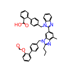 CCCc1nc2c(C)cc(-c3nc4ccccc4n3Cc3ccc(-c4ccccc4C(=O)O)cc3)cc2n1Cc1ccc(-c2ccccc2OC=O)cc1